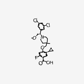 COC[C@@H](c1cc(Cl)cc(Cl)c1)N1CCC(C)(COc2cc(F)c(C(=O)O)cc2C2CC2)CC1